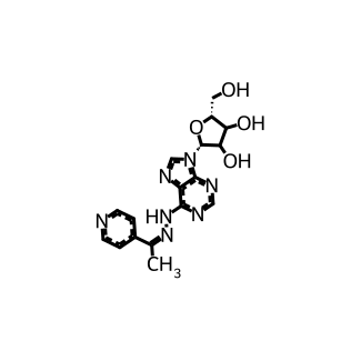 C/C(=N/Nc1ncnc2c1ncn2[C@@H]1O[C@H](CO)C(O)C1O)c1ccncc1